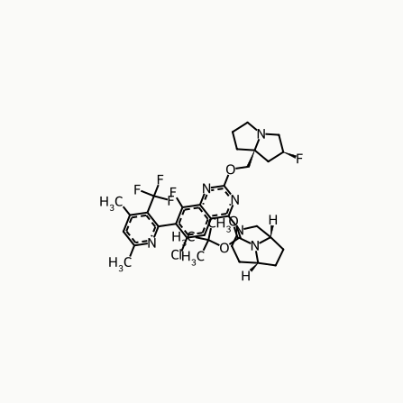 Cc1cc(C)c(C(F)(F)F)c(-c2c(Cl)cc3c(N4CC[C@H]5CC[C@@H](C4)N5C(=O)OC(C)(C)C)nc(OC[C@@]45CCCN4C[C@@H](F)C5)nc3c2F)n1